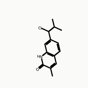 Cc1cc2ccc(C(Cl)C(C)C)cc2[nH]c1=O